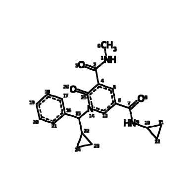 CNC(=O)c1cc(C(=O)NC2CC2)cn(C(c2ccccc2)C2CC2)c1=O